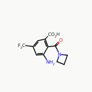 Nc1cc(C(F)(F)F)cc(C(=O)O)c1C(=O)N1CCC1